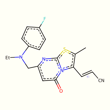 CCN(Cc1cc(=O)n2c(/C=C/C#N)c(C)sc2n1)c1ccc(F)cc1